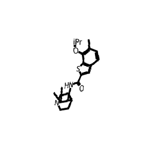 Cc1ccc2cc(C(=O)NC3C4CCN(CC4)C3(C)C)sc2c1OC(C)C